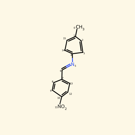 Cc1ccc(N=Cc2ccc([N+](=O)[O-])cc2)cc1